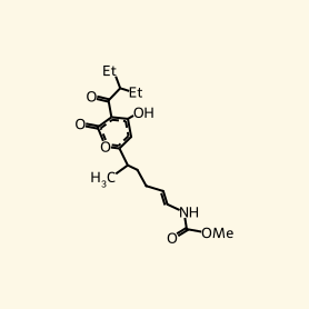 CCC(CC)C(=O)c1c(O)cc(C(C)CC/C=C/NC(=O)OC)oc1=O